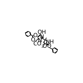 CC(C)(NC(=O)OCc1ccccc1)c1nc(O)c(OC(=O)c2ccccc2)c(CC(=O)O)n1